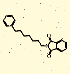 O=C1c2ccccc2C(=O)N1CCCCCCCc1ccccc1